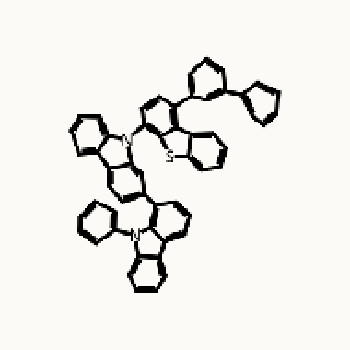 c1ccc(-c2cccc(-c3ccc(-n4c5ccccc5c5ccc(-c6cccc7c8ccccc8n(-c8ccccc8)c67)cc54)c4sc5ccccc5c34)c2)cc1